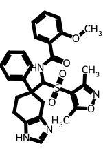 COc1ccccc1C(=O)NC(C1(c2ccccc2)CCc2[nH]cnc2C1)S(=O)(=O)c1c(C)noc1C